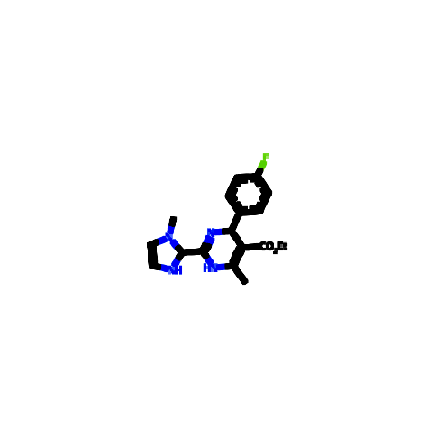 CCOC(=O)C1=C(C)NC(C2NC=CN2C)=NC1c1ccc(F)cc1